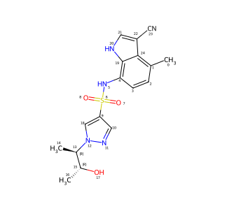 Cc1ccc(NS(=O)(=O)c2cnn([C@H](C)[C@@H](C)O)c2)c2[nH]cc(C#N)c12